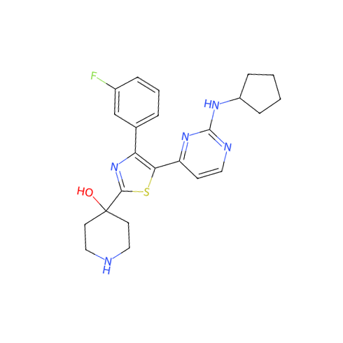 OC1(c2nc(-c3cccc(F)c3)c(-c3ccnc(NC4CCCC4)n3)s2)CCNCC1